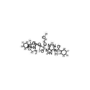 CC[C@H]1O[C@@H](n2cnc3c(NC(=O)c4ccccc4)ncnc32)[C@@H](OCCOC)C1O[P@]1O[C@@](C)(c2ccccc2)[C@H]2CCCN21